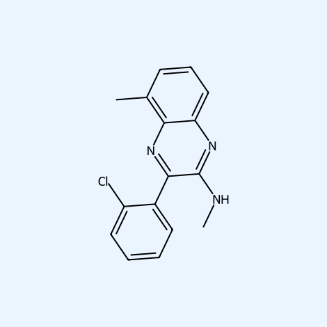 CNc1nc2cccc(C)c2nc1-c1ccccc1Cl